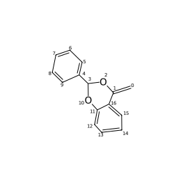 C=C1OC(c2ccccc2)Oc2ccccc21